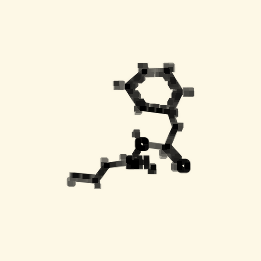 C=CC[SiH2]OC(=O)Cc1ccccc1